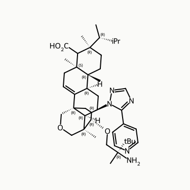 CC(C)[C@@H](C)[C@@]1(C)CC[C@]2(C)[C@H]3CC[C@@H]4[C@@]5(COC[C@]4(C)[C@@H](OC[C@](C)(N)C(C)(C)C)[C@H](n4ncnc4-c4ccncc4)C5)C3=CC[C@@]2(C)C1C(=O)O